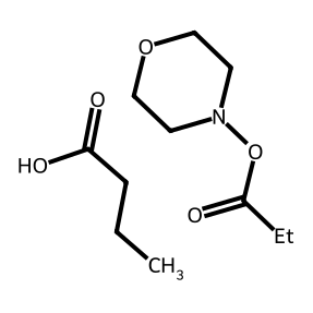 CCC(=O)ON1CCOCC1.CCCC(=O)O